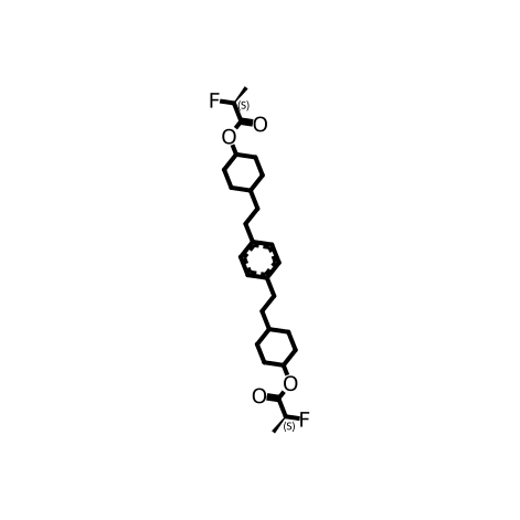 C[C@H](F)C(=O)OC1CCC(CCc2ccc(CCC3CCC(OC(=O)[C@H](C)F)CC3)cc2)CC1